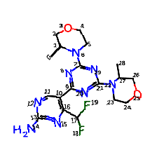 CC1COCCN1c1nc(-c2cnc(N)nc2C(F)F)nc(N2CCOCC2C)n1